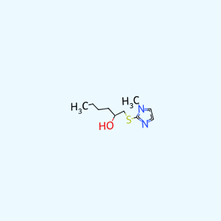 CCCCC(O)CSc1nccn1C